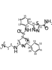 CN(C)CCNc1cc(C(=O)Nc2ccccc2-c2nnc(C(N)=O)s2)nc(-c2ccccc2)n1